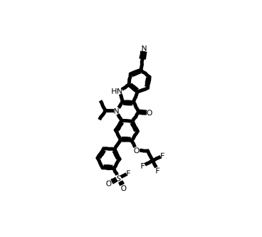 CC(C)n1c2cc(-c3cccc(S(=O)(=O)F)c3)c(OCC(F)(F)F)cc2c(=O)c2c3ccc(C#N)cc3[nH]c21